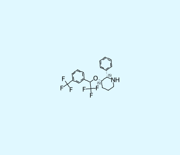 FC(F)(F)c1cccc(C(O[C@H]2CCCN[C@H]2c2ccccc2)C(F)(F)F)c1